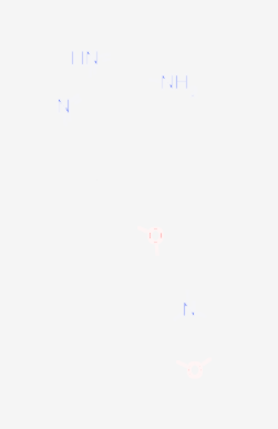 Nc1c[nH]c2ncc(-c3cccc(OCCN4CCOCC4)c3)cc12